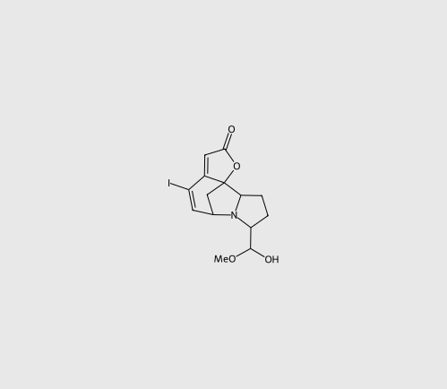 COC(O)C1CCC2N1C1C=C(I)C3=CC(=O)OC32C1